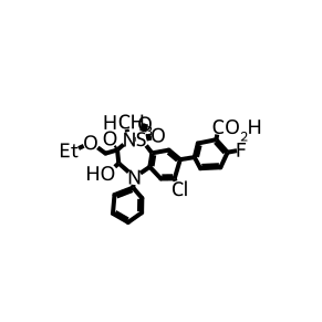 CCOC[C@]1(O)C(O)N(c2ccccc2)c2cc(Cl)c(-c3ccc(F)c(C(=O)O)c3)cc2S(=O)(=O)N1C